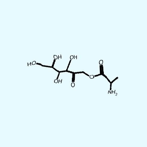 CC(N)C(=O)OCC(=O)C(O)C(O)C(O)CO